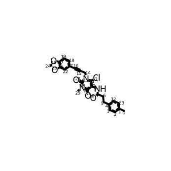 Cc1ccc(CCC(=O)Nc2c(Cl)n(CC#Cc3ccc4c(c3)OCO4)c(=O)n(C)c2=O)cc1